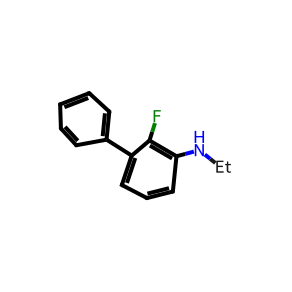 CCNc1cccc(-c2ccccc2)c1F